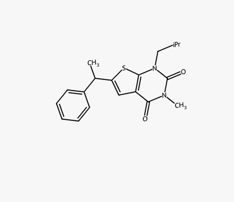 CC(C)Cn1c(=O)n(C)c(=O)c2cc(C(C)c3ccccc3)sc21